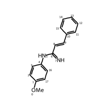 COc1ccc(NC(=N)/C=C/c2ccccc2)cc1